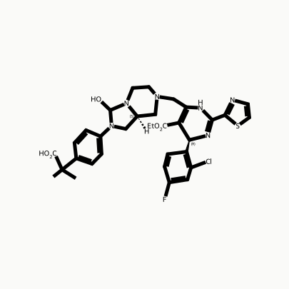 CCOC(=O)C1=C(CN2CCN3C(O)N(c4ccc(C(C)(C)C(=O)O)cc4)C[C@@H]3C2)NC(c2nccs2)=N[C@H]1c1ccc(F)cc1Cl